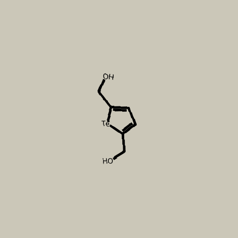 OCc1ccc(CO)[te]1